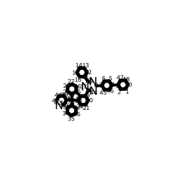 c1ccc(-c2ccc(-c3nc(-c4ccccc4)nc(-c4cccc5c4-c4ccccc4C5(c4ccccc4)c4cccnc4)n3)cc2)cc1